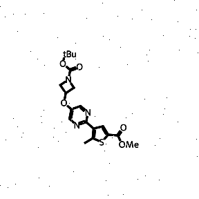 COC(=O)c1cc(-c2ncc(OC3CN(C(=O)OC(C)(C)C)C3)cn2)c(C)s1